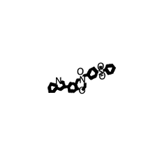 O=C(c1ccc(S(=O)(=O)c2ccccc2)cc1)N1CCOc2ccc(-c3cnc4ccccc4c3)cc2C1